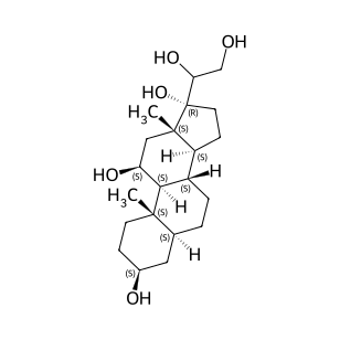 C[C@]12CC[C@H](O)C[C@@H]1CC[C@@H]1[C@@H]2[C@@H](O)C[C@@]2(C)[C@H]1CC[C@]2(O)C(O)CO